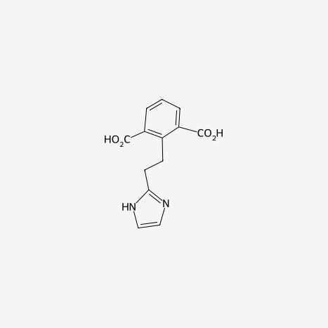 O=C(O)c1cccc(C(=O)O)c1CCc1ncc[nH]1